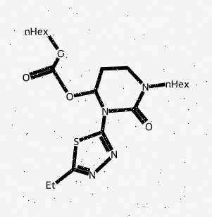 CCCCCCOC(=O)OC1CCN(CCCCCC)C(=O)N1c1nnc(CC)s1